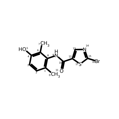 Cc1ccc(O)c(C)c1NC(=O)c1cnc(Br)s1